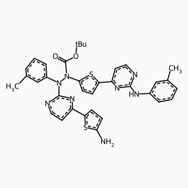 Cc1cccc(Nc2nccc(-c3ccc(N(C(=O)OC(C)(C)C)N(c4cccc(C)c4)c4nccc(-c5ccc(N)s5)n4)s3)n2)c1